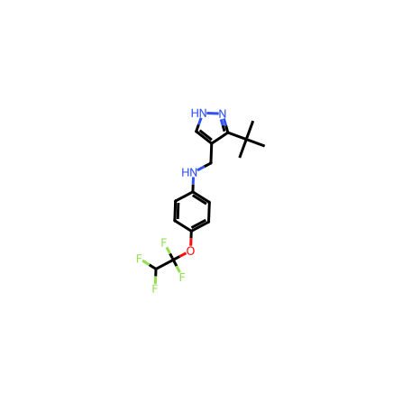 CC(C)(C)c1n[nH]cc1CNc1ccc(OC(F)(F)C(F)F)cc1